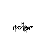 Cc1cc(Nc2ccc(C(F)(F)F)cc2)n2nc(CC3CC3)nc2n1